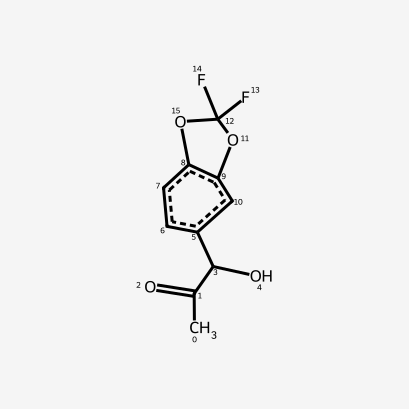 CC(=O)C(O)c1ccc2c(c1)OC(F)(F)O2